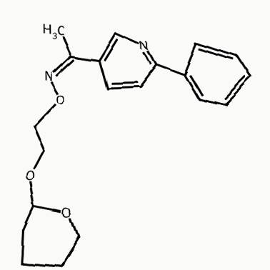 CC(=NOCCOC1CCCCO1)c1ccc(-c2ccccc2)nc1